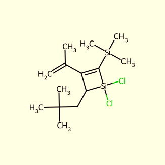 C=C(C)C1=C([Si](C)(C)C)[Si](Cl)(Cl)C1CC(C)(C)C